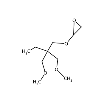 CCC(COC)(COC)COC1CO1